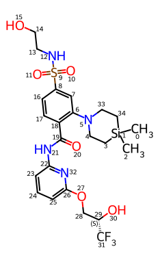 C[Si]1(C)CCN(c2cc(S(=O)(=O)NCCO)ccc2C(=O)Nc2cccc(OC[C@H](O)C(F)(F)F)n2)CC1